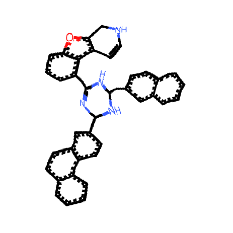 C1=Cc2c(oc3cccc(C4=NC(c5ccc6c(ccc7ccccc76)c5)NC(c5ccc6ccccc6c5)N4)c23)CN1